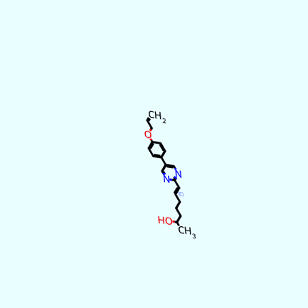 C=CCOc1ccc(-c2cnc(/C=C/CCCC(C)O)nc2)cc1